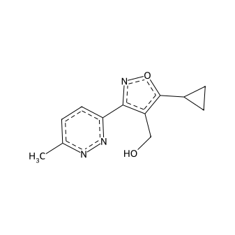 Cc1ccc(-c2noc(C3CC3)c2CO)nn1